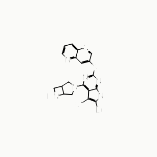 CCc1[nH]c2nc(Sc3cnc4cccnc4c3)nc(N3CC4CNC4C3)c2c1Cl